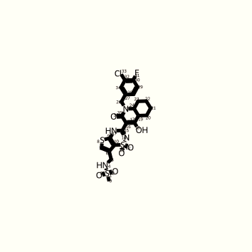 CS(=O)(=O)NCc1csc2c1S(=O)(=O)N=C(C1=C(O)C3CCCCC3N(Cc3ccc(F)c(Cl)c3)C1=O)N2